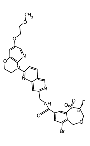 COCCOc1cnc2c(c1)OCCN2c1ccc2cnc(CNC(=O)c3cc(Br)c4c(c3)S(=O)(=O)[C@@H](F)COC4)cc2n1